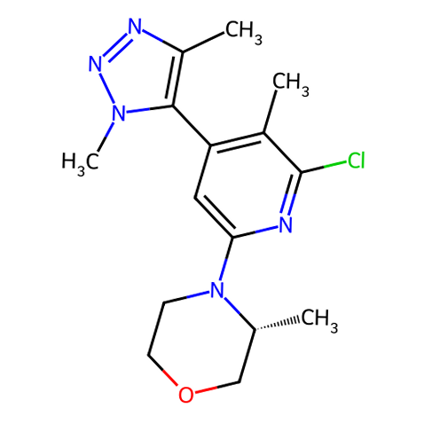 Cc1nnn(C)c1-c1cc(N2CCOC[C@H]2C)nc(Cl)c1C